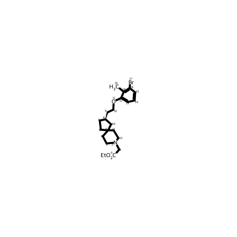 CCOC(=O)CN1CCC2(CC[C@@H](CCOc3cccc(Br)c3C)C2)CC1